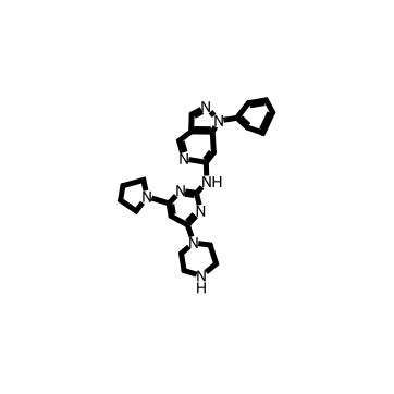 c1ccc(-n2ncc3cnc(Nc4nc(N5CCCC5)cc(N5CCNCC5)n4)cc32)cc1